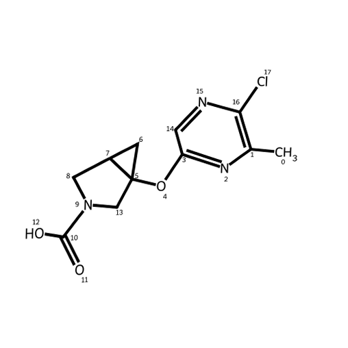 Cc1nc(OC23CC2CN(C(=O)O)C3)cnc1Cl